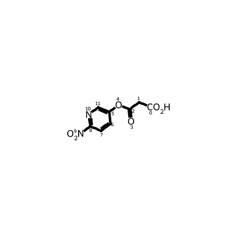 O=C(O)CC(=O)Oc1ccc([N+](=O)[O-])nc1